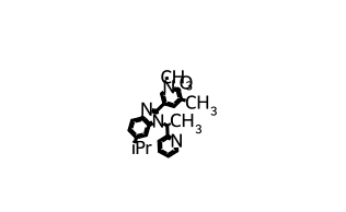 Cc1cc(-c2nc3ccc(C(C)C)cc3n2[C@@H](C)c2ccccn2)cn(C)c1=O